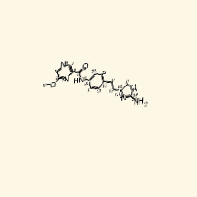 COc1cncc(C(=O)Nc2ccc(CC[C@H]3COC(N)=N3)cc2)n1